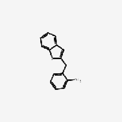 Nc1ccccc1Cc1cc2ccccc2s1